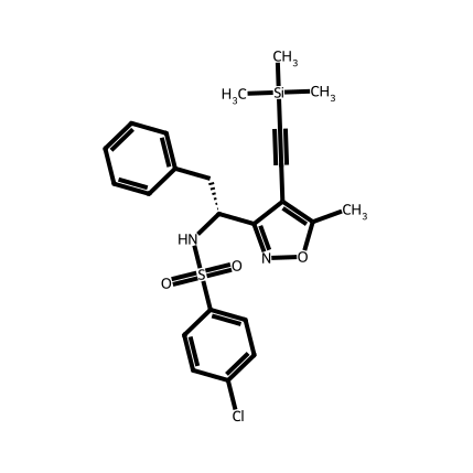 Cc1onc([C@@H](Cc2ccccc2)NS(=O)(=O)c2ccc(Cl)cc2)c1C#C[Si](C)(C)C